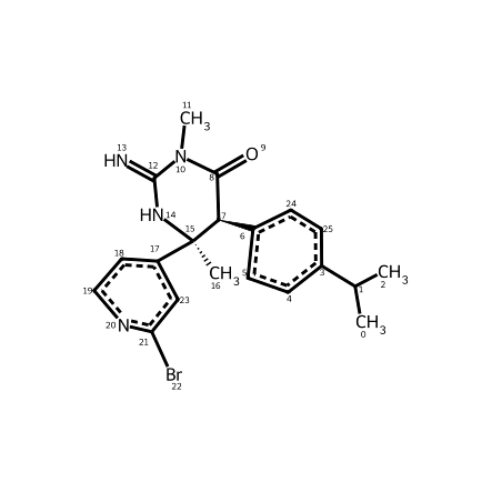 CC(C)c1ccc([C@@H]2C(=O)N(C)C(=N)N[C@]2(C)c2ccnc(Br)c2)cc1